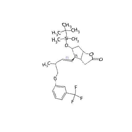 CC(/C=C/[C@H]1C(O[Si](C)(C)C(C)(C)C)CC2OC(=O)CC21)COc1cccc(C(F)(F)F)c1